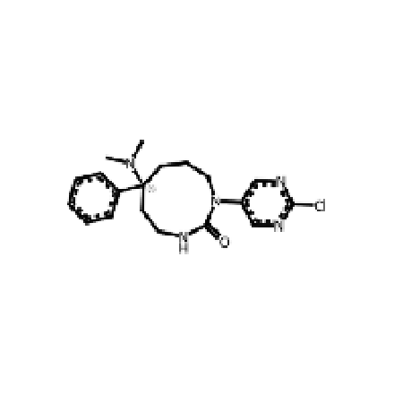 CN(C)[C@@]1(c2ccccc2)CCCN(c2cnc(Cl)nc2)C(=O)NCC1